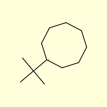 CC(C)(C)[C]1CCCCCCC1